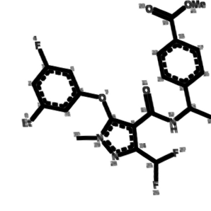 CCc1cc(F)cc(Oc2c(C(=O)NC(C)c3ccc(C(=O)OC)cc3)c(C(F)F)nn2C)c1